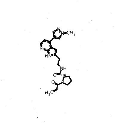 C=CC(=O)N1CCC[C@H]1C(=O)NCCc1cc2c(-c3cnn(C)c3)ccnc2[nH]1